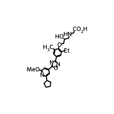 CCc1cc(-c2noc(-c3cc(OC)nc(C4CCCC4)c3)n2)cc(C)c1OCC(O)CNCC(=O)O